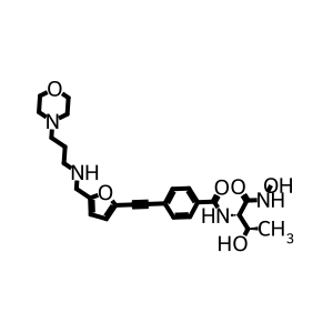 C[C@@H](O)[C@H](NC(=O)c1ccc(C#Cc2ccc(CNCCCN3CCOCC3)o2)cc1)C(=O)NO